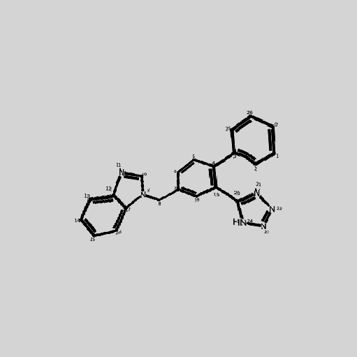 c1ccc(-c2ccc(Cn3cnc4ccccc43)cc2-c2nnn[nH]2)cc1